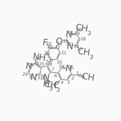 C#Cc1cc(C)c(-c2c(-c3ccc(Oc4nc(C)cc(C)n4)c(F)c3)c3c(N)ncnc3n2C)cn1